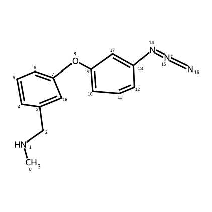 CNCc1cccc(Oc2cccc(N=[N+]=[N-])c2)c1